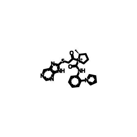 C[C@@H]1CCC[N+]1(C(=O)CSc1nc2cncnc2[nH]1)C(=O)Nc1ccccc1-n1cccc1